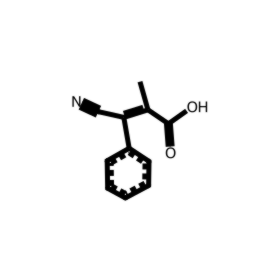 CC(C(=O)O)=C(C#N)c1ccccc1